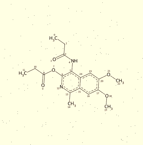 CCC(=O)Nc1c(OC(=O)CC)nc(C)c2cc(OC)c(OC)cc12